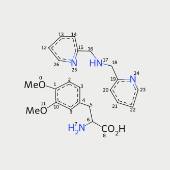 COc1ccc(CC(N)C(=O)O)cc1OC.c1ccc(CNCc2ccccn2)nc1